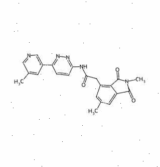 Cc1cncc(-c2ccc(NC(=O)Cc3cc(C)cc4c3C(=O)N(C)C4=O)nn2)c1